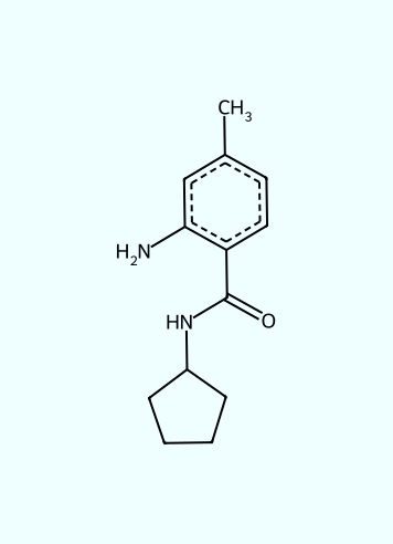 Cc1ccc(C(=O)NC2CCCC2)c(N)c1